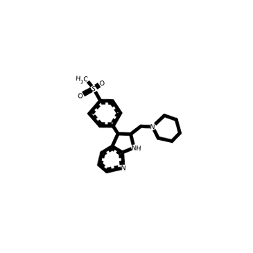 CS(=O)(=O)c1ccc(C2c3cccnc3NC2CN2CCCCC2)cc1